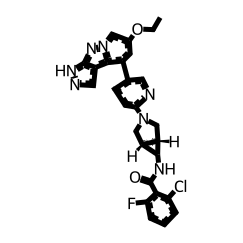 CCOc1cc(-c2ccc(N3C[C@@H]4C(NC(=O)c5c(F)cccc5Cl)[C@@H]4C3)nc2)c2c3cn[nH]c3nn2c1